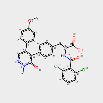 COc1ccc(-c2cnn(C)c(=O)c2-c2ccc(C[C@H](NC(=O)c3c(Cl)cccc3Cl)C(=O)O)cc2)cc1